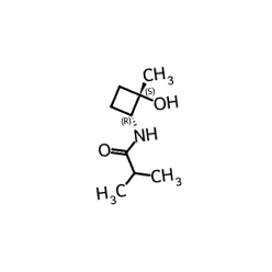 CC(C)C(=O)N[C@@H]1CC[C@]1(C)O